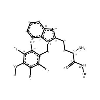 COc1c(F)c(F)c(Cn2c(CC[C@H](N)C(=O)NO)nc3ccccc32)c(F)c1F